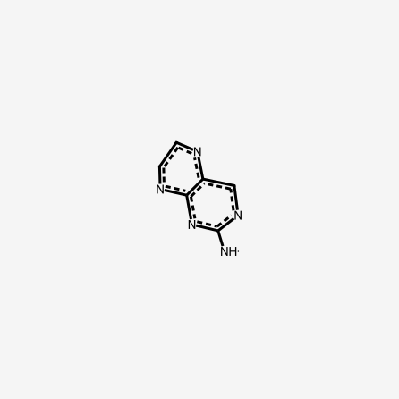 [NH]c1ncc2nccnc2n1